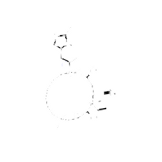 C=C[C@]1(C)C(=O)[C@H](C)C[C@@H](C)CCCCCC[C@@H](/C(C)=C/c2csc(C)n2)OC(=O)C[C@@H]1C#N